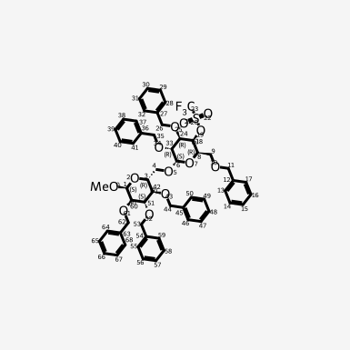 CO[C@H]1O[C@H](CO[C@H]2O[C@H](COCc3ccccc3)[C@H](OS(=O)(=O)C(F)(F)F)[C@H](OCc3ccccc3)[C@H]2OCc2ccccc2)[C@@H](OCc2ccccc2)[C@H](OCc2ccccc2)[C@H]1OCc1ccccc1